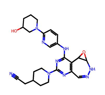 N#CCC1CCN(c2nc3c(c(Nc4ccc(N5CCCC(O)C5)nc4)n2)C2OC2NN=C3)CC1